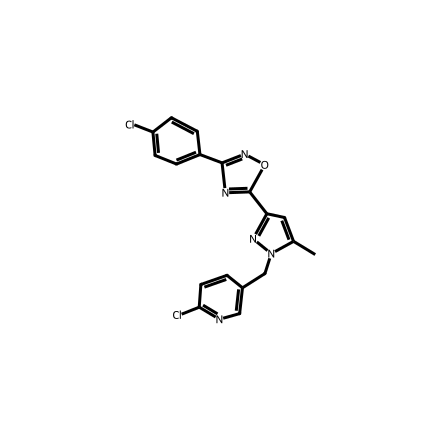 Cc1cc(-c2nc(-c3ccc(Cl)cc3)no2)nn1Cc1ccc(Cl)nc1